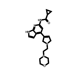 O=C(Nc1cc(C2=CCN(CCN3CCOCC3)C2)c2cc[nH]c2n1)C1CC1